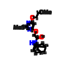 COCCOc1cc(OCC(=O)NC23CC4CC(CC(C4)C2)C3)nc(SC)n1